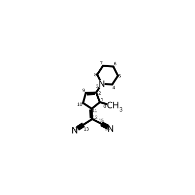 CC1C(N2CCCCC2)=CCC1=C(C#N)C#N